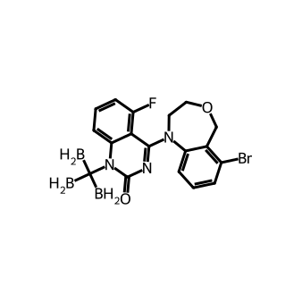 BC(B)(B)n1c(=O)nc(N2CCOCc3c(Br)cccc32)c2c(F)cccc21